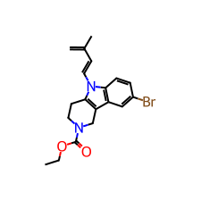 C=C(C)C=Cn1c2c(c3cc(Br)ccc31)CN(C(=O)OCC)CC2